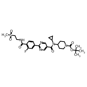 CC(C)(C)OC(=O)N1CCC(N(C(=O)c2cnc(-c3ccc(C(=O)NCCS(C)(=O)=O)c(F)c3)nc2)C2CC2)CC1